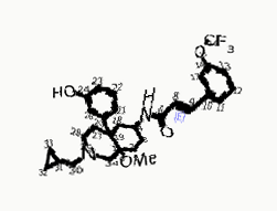 COC12CCC(NC(=O)/C=C/c3cccc(OC(F)(F)F)c3)CC1(c1cccc(O)c1)CCN(CC1CC1)C2